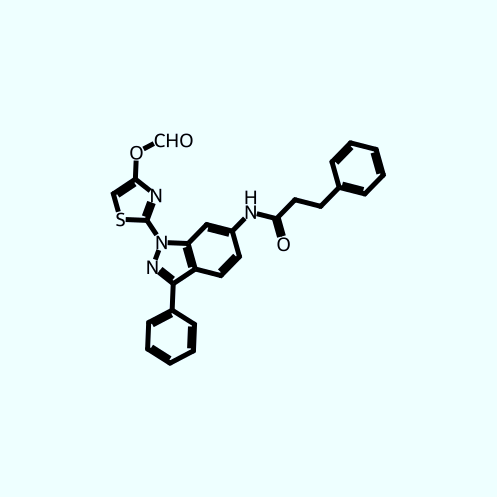 O=COc1csc(-n2nc(-c3ccccc3)c3ccc(NC(=O)CCc4ccccc4)cc32)n1